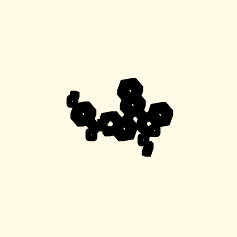 CCOC(=O)CC(c1ccccc1)c1cc2ccccc2cc1-c1cccc2c1CCN(C(=O)c1ccc(OC)cc1)C2